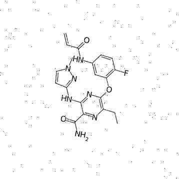 C=CC(=O)Nc1ccc(F)c(Oc2nc(Nc3ccn(C)n3)c(C(N)=O)nc2CC)c1